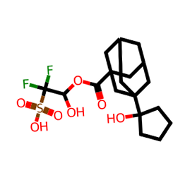 O=C(OC(O)C(F)(F)S(=O)(=O)O)C12CC3CC(C1)CC(C1(O)CCCC1)(C3)C2